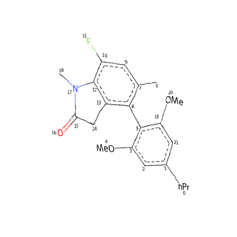 CCCc1cc(OC)c(-c2c(C)cc(F)c3c2CC(=O)N3C)c(OC)c1